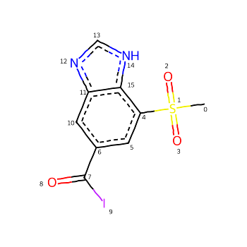 CS(=O)(=O)c1cc(C(=O)I)cc2nc[nH]c12